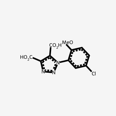 COc1ccc(Cl)cc1-n1nnc(C(=O)O)c1C(=O)O